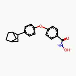 O=C(NO)c1ccc(Oc2ccc(C3CC4CCC3C4)cc2)cc1